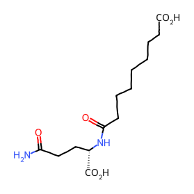 NC(=O)CC[C@H](NC(=O)CCCCCCCC(=O)O)C(=O)O